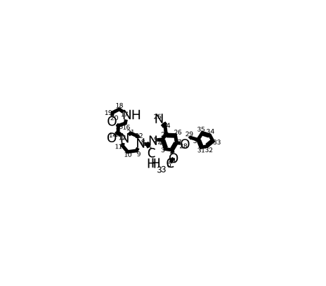 COc1cc(N=C(C)N2CCCN(C(=O)C3CNCCO3)CC2)c(C#N)cc1OCc1ccccc1